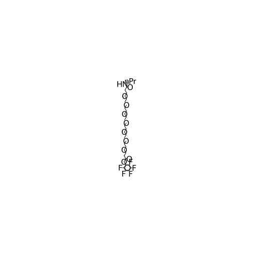 CCCNC(=O)CCOCCOCCOCCOCCOCCOCCOCCC(=O)Oc1c(F)c(F)c(F)c(F)c1F